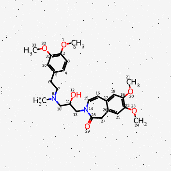 COc1ccc(CCN(C)CC(O)CN2C=Cc3cc(OC)c(OC)cc3CC2=O)cc1OC